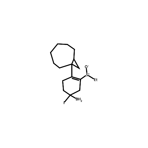 BC1(I)CCC(C23CCCCCCC2C3)=C([S+]([O-])CC)C1